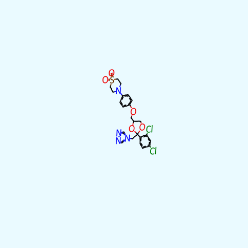 O=S1(=O)CCN(c2ccc(OCC3COC(Cn4cnnc4)(c4ccc(Cl)cc4Cl)O3)cc2)CC1